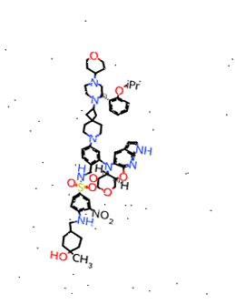 CC(C)Oc1ccccc1[C@H]1CN(C2CCOCC2)CCN1C1CC2(CCN(c3ccc(C(=O)NS(=O)(=O)c4ccc(NCC5CCC(C)(O)CC5)c([N+](=O)[O-])c4)c(N4c5cc6cc[nH]c6nc5O[C@H]5COCC[C@@H]54)c3)CC2)C1